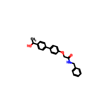 CC(O)c1ccc(-c2ccc(OCC(=O)NCc3ccccc3)cc2)cc1